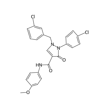 COc1ccc(NC(=O)c2cn(Cc3cccc(Cl)c3)n(-c3ccc(Cl)cc3)c2=O)cc1